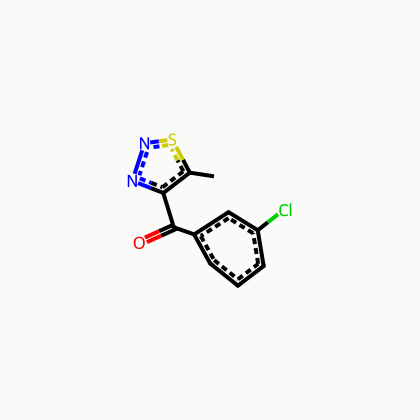 Cc1snnc1C(=O)c1cccc(Cl)c1